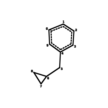 [c]1cccc(CC2CC2)c1